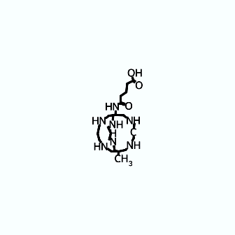 CC12CNCCCNCC(NC(=O)CCCC(=O)O)(CNCCCNC1)CNCCCNC2